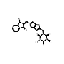 CCN1C(=O)C(=Cc2cc3sc(C=C4C(=O)c5ccccc5C4=O)cc3s2)C(=O)N(CC)C1=S